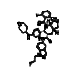 Cc1cccc(F)c1C(=O)N1[C@@H]2CCC[C@@H]2C[C@H](C(=O)Nc2ccc3c(cnn3CCF)c2)[C@@H]1c1ccc(NC2CCOCC2)cc1